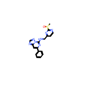 C[S+]([O-])c1nccc(CNc2nc(-c3ccccc3)cc3ncnn23)n1